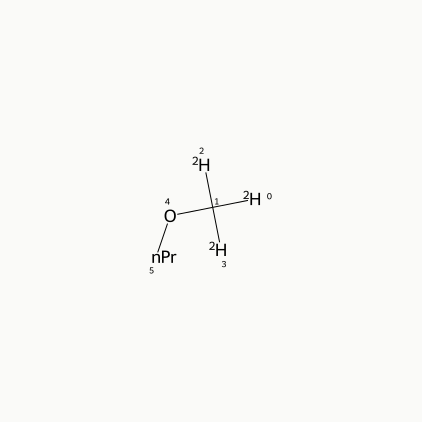 [2H]C([2H])([2H])OCCC